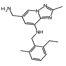 CCc1cccc(C)c1CNc1cc(CN)cn2nc(C)nc12